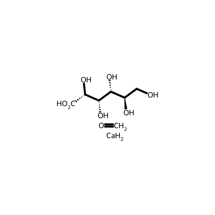 C=O.O=C(O)[C@H](O)[C@@H](O)[C@H](O)[C@H](O)CO.[CaH2]